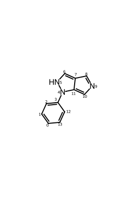 c1ccc(-n2[nH]cc3cncc2-3)cc1